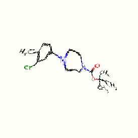 Cc1ccc(N2CCN(C(=O)OC(C)(C)C)CC2)cc1Cl